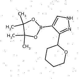 CC1(C)OB(c2c[nH]nc2C2CCCCO2)OC1(C)C